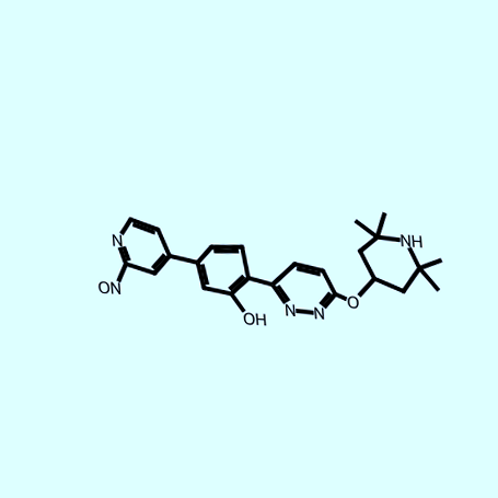 CC1(C)CC(Oc2ccc(-c3ccc(-c4ccnc(N=O)c4)cc3O)nn2)CC(C)(C)N1